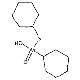 O=[As](O)(SC1CCCCC1)C1CCCCC1